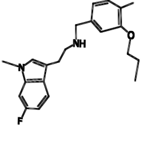 CCCOc1cc(CNCCc2cn(C)c3cc(F)ccc23)ccc1C